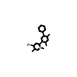 Cc1cc(C)c(-c2cc(C(C)C)c(C)c[n+]2C)cc1-c1ccccc1